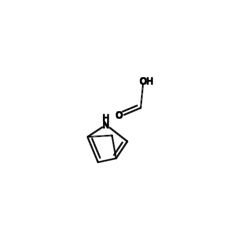 O=CO.c1[nH]c2cc1C2